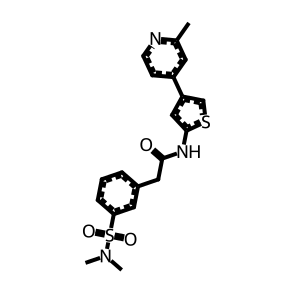 Cc1cc(-c2csc(NC(=O)Cc3cccc(S(=O)(=O)N(C)C)c3)c2)ccn1